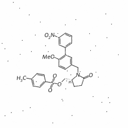 COc1ccc(CN2C(=O)CC[C@@H]2COS(=O)(=O)c2ccc(C)cc2)cc1-c1cccc([N+](=O)[O-])c1